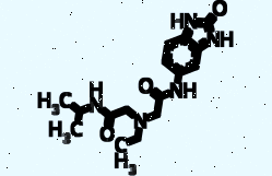 CCN(CC(=O)Nc1ccc2[nH]c(=O)[nH]c2c1)CC(=O)NC(C)C